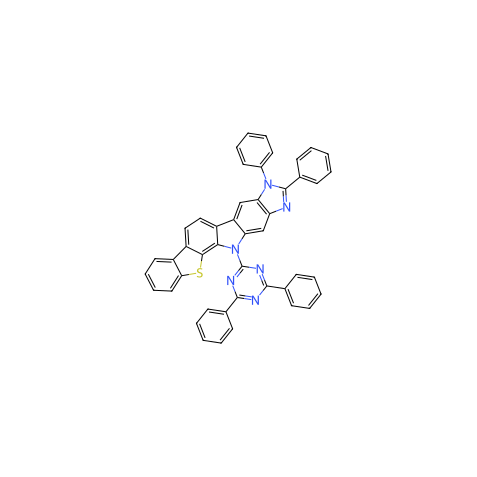 c1ccc(-c2nc(-c3ccccc3)nc(-n3c4cc5nc(-c6ccccc6)n(-c6ccccc6)c5cc4c4ccc5c6ccccc6sc5c43)n2)cc1